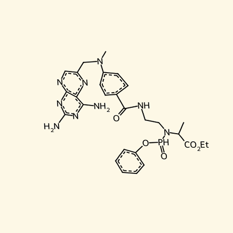 CCOC(=O)C(C)N(CCNC(=O)c1ccc(N(C)Cc2cnc3nc(N)nc(N)c3n2)cc1)[PH](=O)Oc1ccccc1